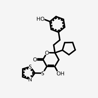 O=C1OC(CCc2cccc(O)c2)(C2CCCC2)CC(O)=C1Sc1nccs1